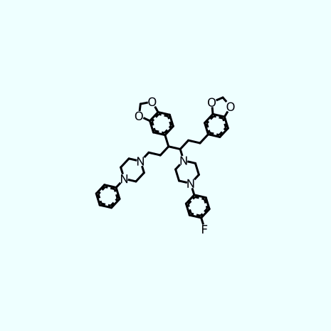 Fc1ccc(N2CCN(C(CCc3ccc4c(c3)OCO4)C(CCN3CCN(c4ccccc4)CC3)c3ccc4c(c3)OCO4)CC2)cc1